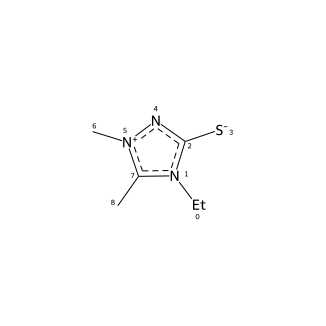 CCn1c([S-])n[n+](C)c1C